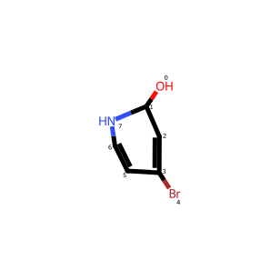 OC1C=C(Br)C=CN1